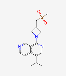 CC(C)c1cnc(N2CC(CS(C)(=O)=O)C2)c2cnccc12